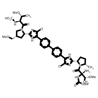 COC[C@H]1C[C@@H](c2nc(Cl)c(-c3ccc(-c4ccc(-c5[nH]c([C@@H]6CC[C@H](C)N6C(=O)[C@@](N)(NC(=O)OC)[C@@H](C)OC)nc5Cl)cc4)cc3)[nH]2)N(C(=O)[C@@H](NC(=O)O)[C@@H](C)OC)C1